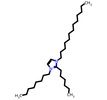 CCCCCCCCCCCCCn1cc[n+](CCCCCCCC)c1CCCCCC